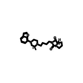 C[C@H]1CN(c2cccc3ccoc23)CCN1CCCCN1C(=O)[C@@H]2CCCN2C1=O